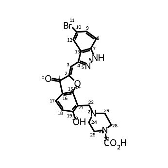 O=C1/C(=C/c2n[nH]c3ccc(Br)cc23)Oc2c1ccc(O)c2CN1CCN(C(=O)O)CC1